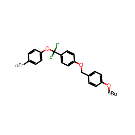 CCCCOc1ccc(COc2ccc(C(F)(F)Oc3ccc(CCC)cc3)cc2)cc1